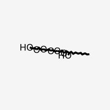 CCCCCCCCCC(O)COCCOCCOCCOCCOCCO